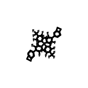 Fc1c(F)c([B-](c2c(F)c(F)c(-c3ccc4c(c3)CC4)c(F)c2F)(c2c(F)c(F)c(C(F)(F)F)c(F)c2F)c2c(F)c(F)c(C(F)(F)F)c(F)c2F)c(F)c(F)c1-c1ccc2c(c1)CC2